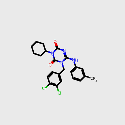 O=c1nc(Nc2cccc(C(F)(F)F)c2)n(Cc2ccc(Cl)c(Cl)c2)c(=O)n1C1CCCCC1